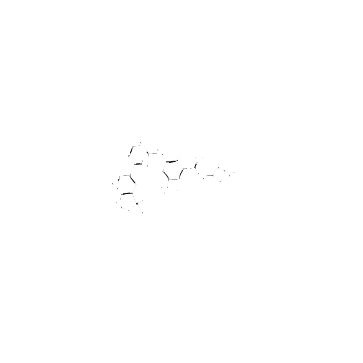 COc1cc(Nc2nccc(-c3cnc4c(c3)C(C)(CO)CN4)n2)c(C)c(C(=O)NC2CN(C)C2)c1